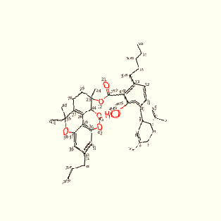 C=C(C)[C@@H]1CCC(C)=CC1c1ccc(CCCCC)c(C(=O)OC2(C)CCC3=C4c5c(cc(CCC)cc5OC3(C)C)OOC42)c1O